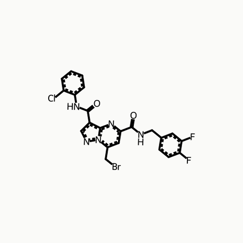 O=C(NCc1ccc(F)c(F)c1)c1cc(CBr)n2ncc(C(=O)Nc3ccccc3Cl)c2n1